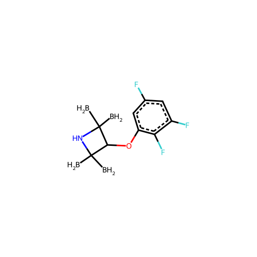 BC1(B)NC(B)(B)C1Oc1cc(F)cc(F)c1F